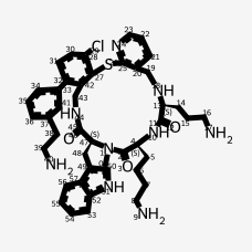 CN1C(=O)[C@H](CCCCN)NC(=O)[C@H](CCCN)NCc2cccnc2Sc2c(Cl)ccc(-c3cccc(CCN)c3)c2CNC(=O)[C@@H]1Cc1c[nH]c2ccccc12